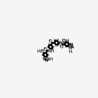 O=C(c1ccc(NC(=O)c2cc3[nH]nnc3cc2O)cc1)c1ccc(NC(=O)c2cc3[nH]nnc3cc2O)cc1